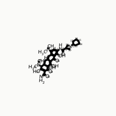 CN(C)c1cc(NC(=O)C2CN(C3CCCCC3)C2)c(O)c2c1C[C@H]1CC3[C@H](N(C)C)C(O)=C(C(N)=O)C(=O)[C@@]3(O)C(O)=C1C2=O